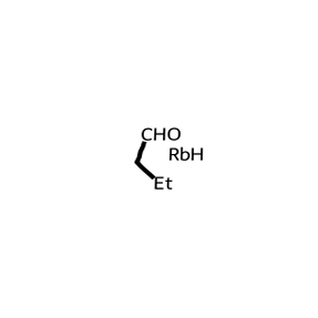 CCCC=O.[RbH]